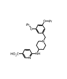 CC(C)Oc1cc(CN2CCC(Nc3ccc(C(=O)O)cn3)CC2)cc(OC(C)C)c1